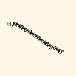 COCCOCCOCCOCCOCCOCCOCCOCCOCCOCCOCN